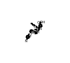 CCCCOCCn1c(CN2CCN(c3cccc(OCc4ccc(C#N)cc4F)n3)[C@H]3CC[C@H]32)nc2ccc(C(=O)O)cc21